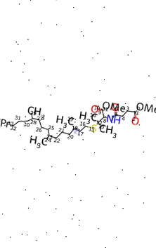 COC(=O)CCC(=O)NC(C(=O)OC)C(C)(C)SC/C=C(\C)CCCC(C)CCCC(C)CCCC(C)C